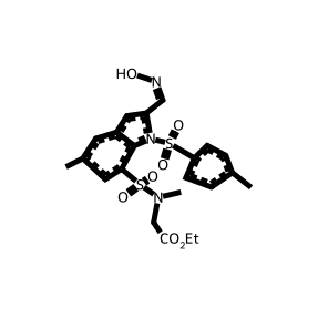 CCOC(=O)CN(C)S(=O)(=O)c1cc(C)cc2cc(/C=N\O)n(S(=O)(=O)c3ccc(C)cc3)c12